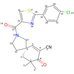 CC1(C)C[C@]2(C=C(C#N)C1=O)CCN(C(=O)c1csc(-c3ccc(Cl)cc3)n1)C2